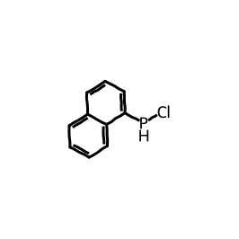 ClPc1cccc2ccccc12